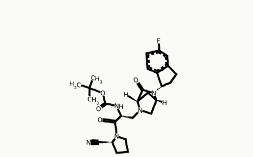 CC(C)(C)OC(=O)N[C@@H](CN1C[C@@H]2C[C@H]1C(=O)N2[C@H]1CCc2cc(F)ccc21)C(=O)N1CCC[C@H]1C#N